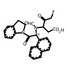 O=CN(C(CC(=O)O)C(=O)CF)[C@H](C(=O)N1CCc2ccccc21)c1cccc2ccccc12